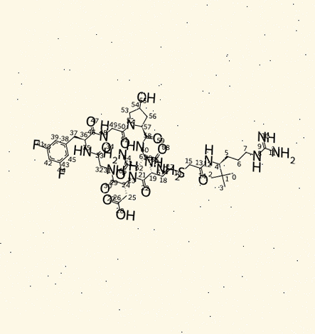 CC(C)(C)[C@H](CCCNC(=N)N)NC(=O)CSCC[C@@H](N)C(=O)N[C@H](CC(=O)O)C(=O)NCC(=O)N[C@@H](Cc1cc(F)cc(F)c1)C(=O)NCC(=O)N1CC(O)C[C@H]1C(=O)N[C@@H](CC(N)=O)C(N)=O